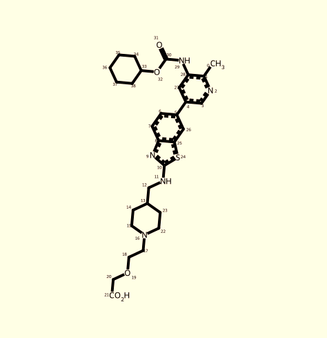 Cc1ncc(-c2ccc3nc(NCC4CCN(CCOCC(=O)O)CC4)sc3c2)cc1NC(=O)OC1CCCCC1